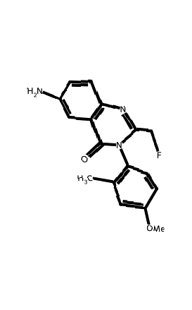 COc1ccc(-n2c(CF)nc3ccc(N)cc3c2=O)c(C)c1